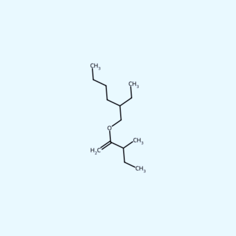 C=C(OCC(CC)CCCC)C(C)CC